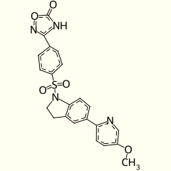 COc1ccc(-c2ccc3c(c2)CCN3S(=O)(=O)c2ccc(-c3noc(=O)[nH]3)cc2)nc1